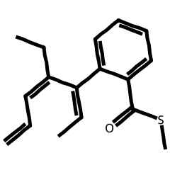 C=C/C=C(CC)\C(=C/C)c1ccccc1C(=O)SC